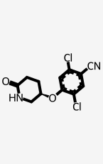 N#Cc1cc(Cl)c(O[C@@H]2CCC(=O)NC2)cc1Cl